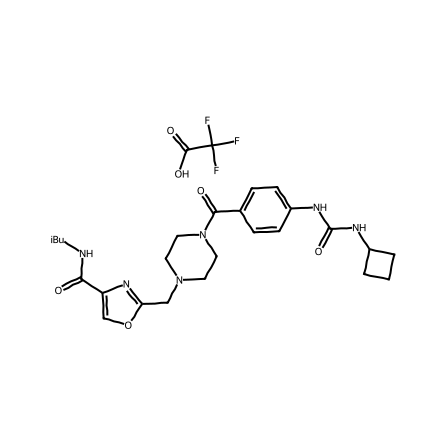 CCC(C)NC(=O)c1coc(CN2CCN(C(=O)c3ccc(NC(=O)NC4CCC4)cc3)CC2)n1.O=C(O)C(F)(F)F